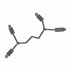 N#CN(C#N)CCCN(C#N)C#N